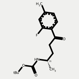 Cc1ccc(C(=O)CC[C@H](C)NC(=O)OC(C)(C)C)c(F)c1